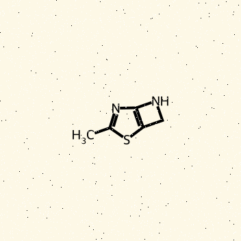 Cc1nc2c(s1)CN2